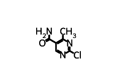 Cc1nc(Cl)ncc1C(N)=O